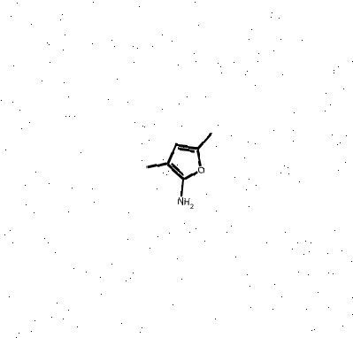 Cc1cc(C)c(N)o1